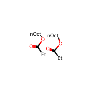 CCCCCCCCOC(=O)CC.CCCCCCCCOC(=O)CC